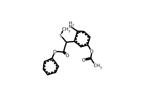 CSC(C(=O)Oc1ccccc1)c1cc(OC(C)=O)ccc1N